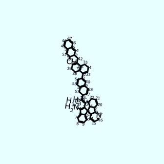 C/C(=C\C1=C(N)c2ccccc2C12C1C=CC=NC1C1C=CCC(C)C12)C1C=Cc2cc(C3=CCCC4=C3CCC=C4CC3C=c4ccccc4=CC3C)ccc2C1